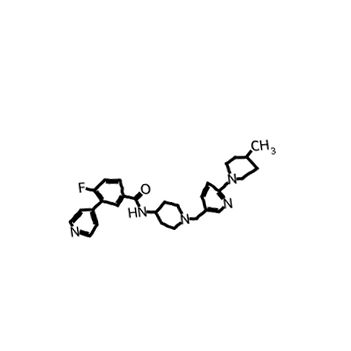 CC1CCN(c2ccc(CN3CCC(NC(=O)c4ccc(F)c(-c5ccncc5)c4)CC3)cn2)CC1